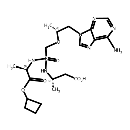 C[C@H](Cn1cnc2c(N)ncnc21)OCP(=O)(N[C@@H](C)CC(=O)O)N[C@H](C)C(=O)OC1CCC1